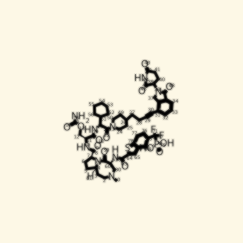 CN1CC[C@H]2CC[C@@H](C(=O)N[C@@H](COC(N)=O)C(=O)N[C@H](C(=O)N3CCC(CCC#Cc4cccc5c4CN(C4CCC(=O)NC4=O)C5=O)CC3)C3CCCCC3)N2C(=O)[C@@H](NC(=O)c2cc3cc(C(F)(F)P(=O)(O)O)ccc3s2)C1